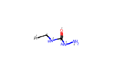 CC(C)CNC(=O)NN